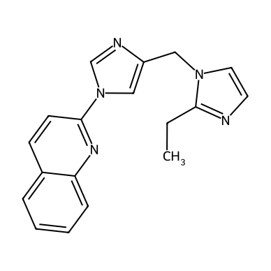 CCc1nccn1Cc1cn(-c2ccc3ccccc3n2)cn1